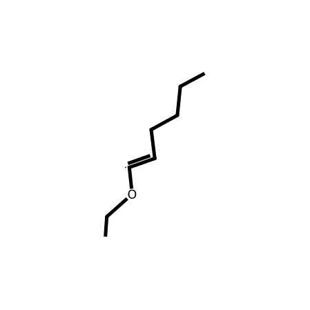 CCCC/C=[C]/OCC